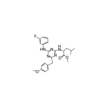 COC(=O)C(CC(C)C)Nc1nc(Cc2ccc(OC)cc2)nc(Nc2cccc(F)c2)n1